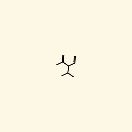 C=CC(C(=C)C)C(C)C